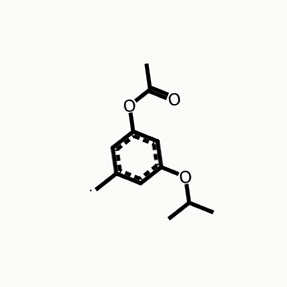 [CH2]c1cc(OC(C)=O)cc(OC(C)C)c1